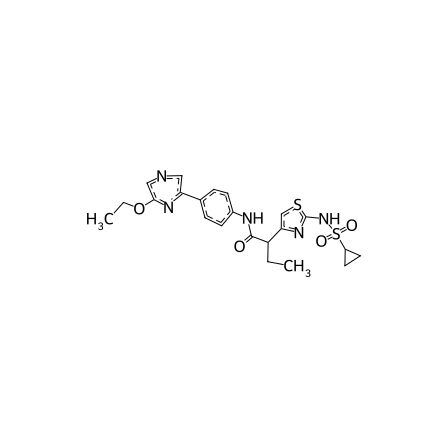 CCOc1cncc(-c2ccc(NC(=O)C(CC)c3csc(NS(=O)(=O)C4CC4)n3)cc2)n1